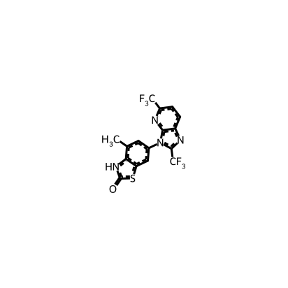 Cc1cc(-n2c(C(F)(F)F)nc3ccc(C(F)(F)F)nc32)cc2sc(=O)[nH]c12